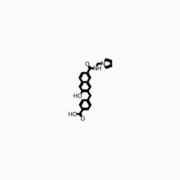 O=C(O)c1ccc(Cc2cc3cc(C(=O)NCn4cccc4)ccc3cc2O)cc1